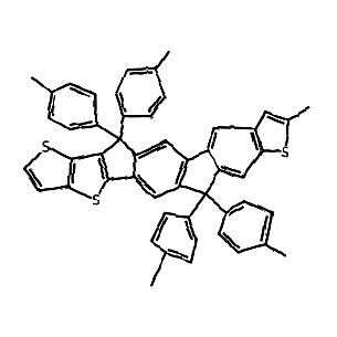 Cc1ccc(C2(c3ccc(C)cc3)c3cc4c(cc3-c3cc5cc(C)sc5cc32)C(c2ccc(C)cc2)(c2ccc(C)cc2)c2c-4sc3ccsc23)cc1